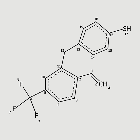 C=Cc1ccc(C(F)(F)F)cc1Cc1ccc(S)cc1